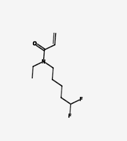 C=CC(=O)N(CC)CCCCC(F)F